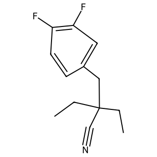 CCC(C#N)(CC)Cc1ccc(F)c(F)c1